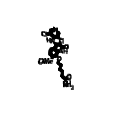 COc1ccc2c(Nc3c(Cl)cncc3Cl)cc(=O)[nH]c2c1OCCCCCC(N)=O